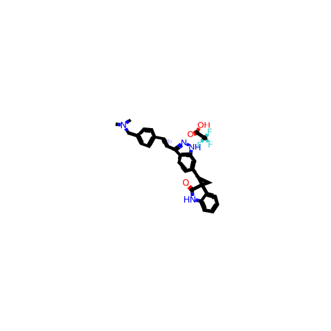 CN(C)Cc1ccc(/C=C/c2n[nH]c3cc(C4CC45C(=O)Nc4ccccc45)ccc23)cc1.O=C(O)C(F)(F)F